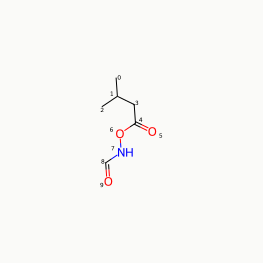 CC(C)CC(=O)ONC=O